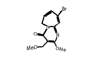 COCc1c(OC)nc2n(c1=O)CC=CC(Br)=C2